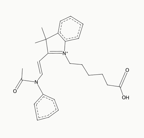 CC(=O)N(/C=C/C1=[N+](CCCCCC(=O)O)c2ccccc2C1(C)C)c1ccccc1